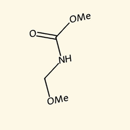 COCNC(=O)OC